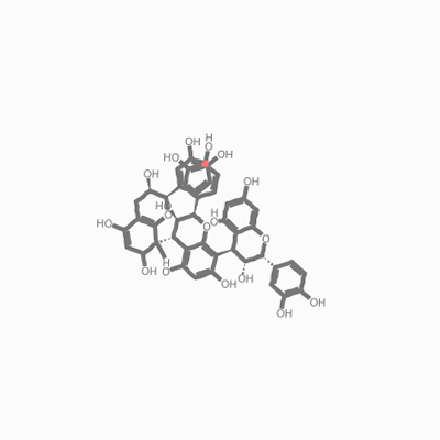 CC1([C@H]2c3c(O)cc(O)c([C@H]4c5c(O)cc(O)cc5O[C@H](c5ccc(O)c(O)c5)[C@@H]4O)c3O[C@H](c3ccc(O)c(O)c3)[C@@H]2O)C2=C(C[C@@H](O)[C@@H](c3ccc(O)c(O)c3)O2)C(O)=CC1O